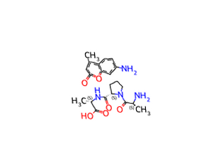 C[C@H](N)C(=O)N1CCC[C@H]1C(=O)N[C@@H](C)C(=O)O.Cc1cc(=O)oc2cc(N)ccc12